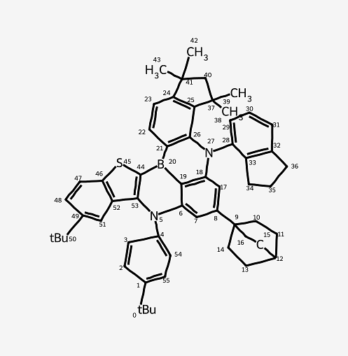 CC(C)(C)c1ccc(N2c3cc(C45CCC(CC4)CC5)cc4c3B(c3ccc5c(c3N4c3cccc4c3CCC4)C(C)(C)CC5(C)C)c3sc4ccc(C(C)(C)C)cc4c32)cc1